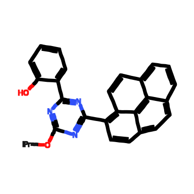 CC(C)Oc1nc(-c2ccccc2O)nc(-c2ccc3ccc4cccc5ccc2c3c45)n1